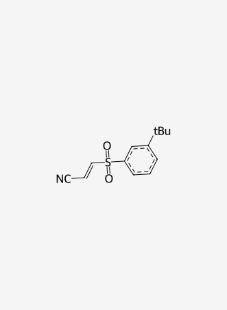 CC(C)(C)c1cccc(S(=O)(=O)C=CC#N)c1